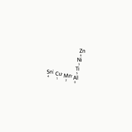 [Al].[Cu].[Mn].[Ni].[Sn].[Ti].[Zn]